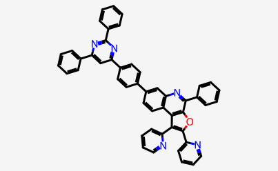 c1ccc(-c2cc(-c3ccc(-c4ccc5c(c4)nc(-c4ccccc4)c4oc(-c6ccccn6)c(-c6ccccn6)c45)cc3)nc(-c3ccccc3)n2)cc1